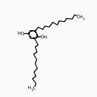 CCCCCCCCCCCCc1cc(O)cc(CCCCCCCCCCCC)c1O